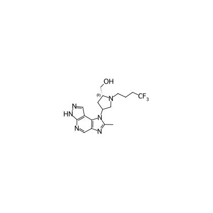 Cc1nc2cnc3[nH]ncc3c2n1C1C[C@H](CO)N(CCCC(F)(F)F)C1